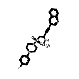 O=C(O)NC(C#Cc1cnc2ccccc2c1)CS(=O)(=O)N1CCN(c2ccc(F)cc2)CC1